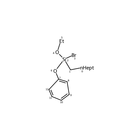 CCCCCCCC[Si](Br)(OCC)Oc1ccccc1